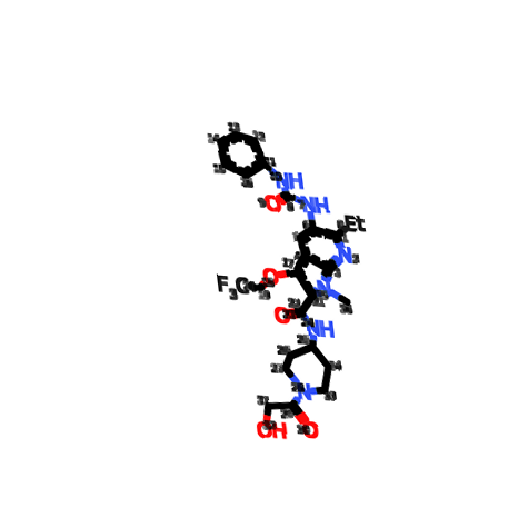 CCc1nc2c(cc1NC(=O)Nc1ccccc1)c(OCC(F)(F)F)c(C(=O)NC1CCN(C(=O)CO)CC1)n2C